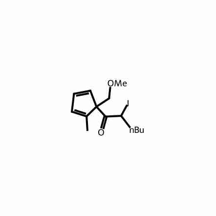 CCCCC(I)C(=O)C1(COC)C=CC=C1C